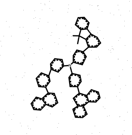 CC1(C)c2ccccc2-c2cccc(-c3ccc(N(c4ccc(-c5cc6ccccc6c6ccccc56)cc4)c4cccc(-c5cccc(-c6cccc7ccccc67)c5)c4)cc3)c21